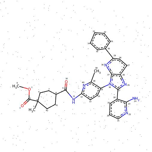 COC(=O)C1(C)CCC(C(=O)Nc2ccc(-n3c(-c4cccnc4N)nc4ccc(-c5ccccc5)nc43)c(C)n2)CC1